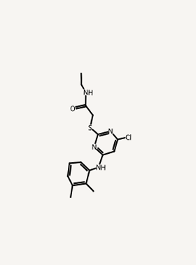 CCNC(=O)CSc1nc(Cl)cc(Nc2cccc(C)c2C)n1